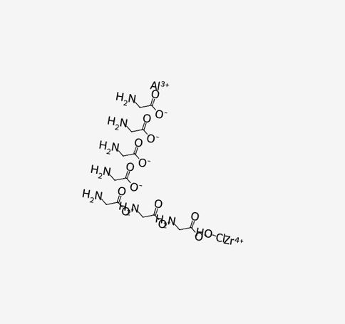 NCC(=O)[O-].NCC(=O)[O-].NCC(=O)[O-].NCC(=O)[O-].NCC(=O)[O-].NCC(=O)[O-].NCC(=O)[O-].OCl.[Al+3].[Zr+4]